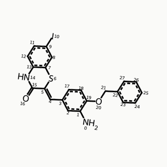 Nc1cc(/C=C2\Sc3cc(I)ccc3NC2=O)ccc1OCc1ccccc1